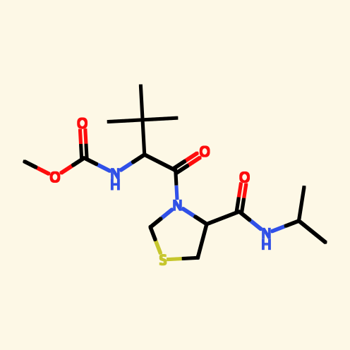 COC(=O)NC(C(=O)N1CSCC1C(=O)NC(C)C)C(C)(C)C